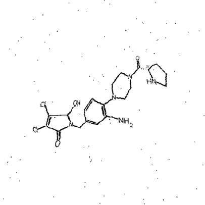 Nc1cc(CN2C(=O)C(Cl)=C(Cl)C2O)ccc1N1CCN(C(=O)[C@@H]2CCCN2)CC1